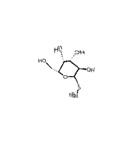 CCCCSC1O[C@H](CO)[C@H](O)[C@H](O)[C@H]1O